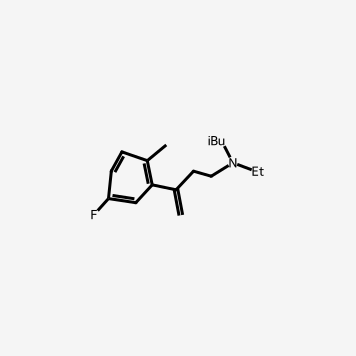 C=C(CCN(CC)C(C)CC)c1cc(F)ccc1C